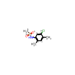 Cc1cc(C)c(NS(C)(=O)=O)cc1Cl